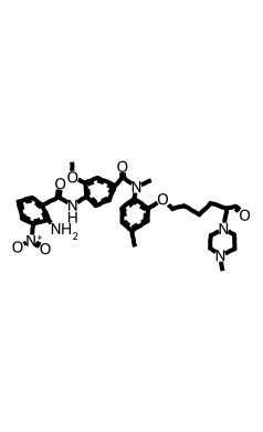 COc1cc(C(=O)N(C)c2ccc(C)cc2OCCCCC(C=O)N2CCN(C)CC2)ccc1NC(=O)c1cccc([N+](=O)[O-])c1N